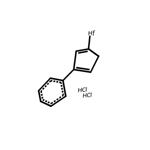 Cl.Cl.[Hf][C]1=CC(c2ccccc2)=CC1